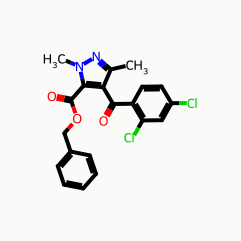 Cc1nn(C)c(C(=O)OCc2ccccc2)c1C(=O)c1ccc(Cl)cc1Cl